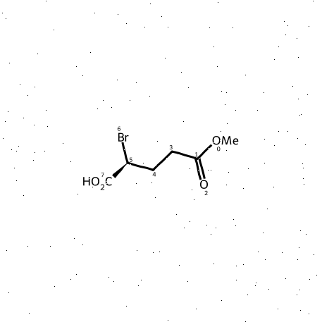 COC(=O)CC[C@H](Br)C(=O)O